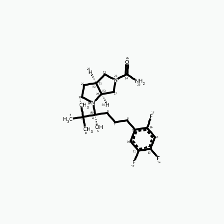 CC(C)(C)[C@](O)(CCCc1cc(F)c(F)cc1F)N1CC[C@H]2CN(C(N)=O)C[C@H]21